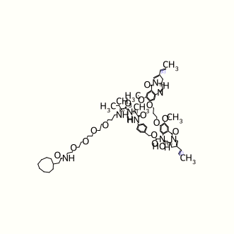 C/C=C/C1=CN2C(=O)c3cc(OC)c(OCCCOc4cc5c(cc4OC)C(=O)N4C=C(/C=C/C)C[C@H]4[C@H](O)N5C(=O)OCc4ccc(NC(=O)[C@H](C)NC(=O)[C@@H](NCCCOCCOCCOCCOCCNC(=O)CC5CCCCCCCC5)C(C)C)cc4)cc3N=C[C@@H]2C1